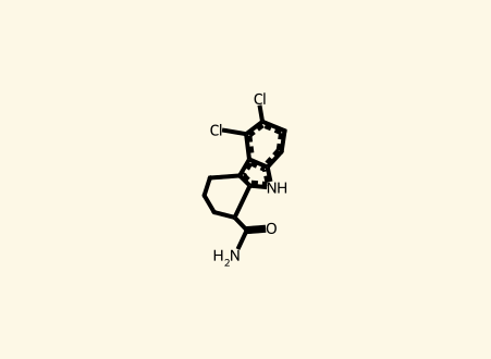 NC(=O)C1CCCc2c1[nH]c1ccc(Cl)c(Cl)c21